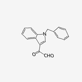 O=CC(=O)c1cn(Cc2ccccc2)c2ccccc12